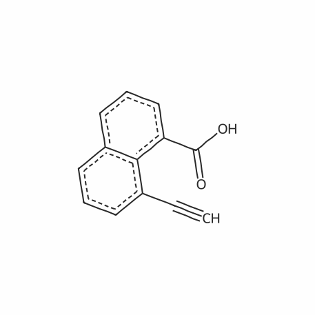 C#Cc1cccc2cccc(C(=O)O)c12